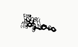 COC(=O)c1c(C(F)(F)F)[nH]c2c(O)cc3c(c12)C(CBr)CN3C(=O)c1cc2cc(-c3cc4ccccc4o3)ccc2[nH]1